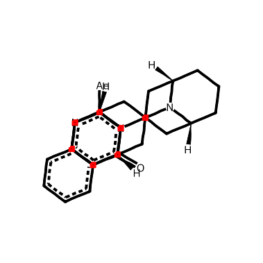 CC(=O)c1nc2ccccc2c(=O)n1C1C[C@H]2CCC[C@@H](C1)N2C1C[C@H]2CCC[C@@H](C1)C2